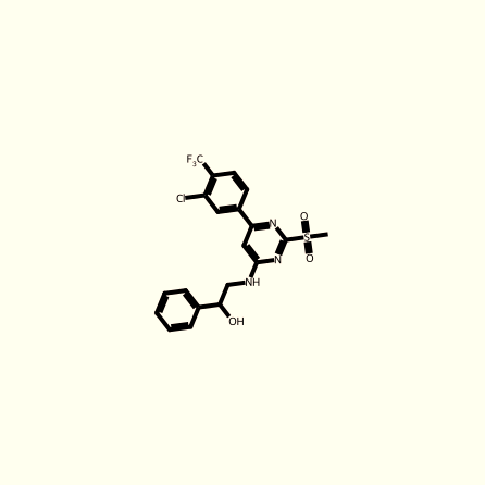 CS(=O)(=O)c1nc(NCC(O)c2ccccc2)cc(-c2ccc(C(F)(F)F)c(Cl)c2)n1